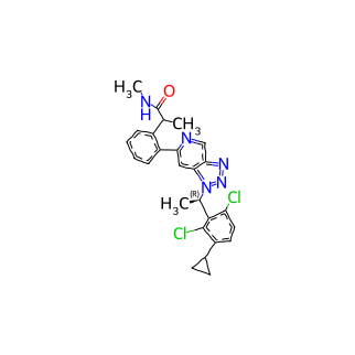 CNC(=O)C(C)c1ccccc1-c1cc2c(cn1)nnn2[C@H](C)c1c(Cl)ccc(C2CC2)c1Cl